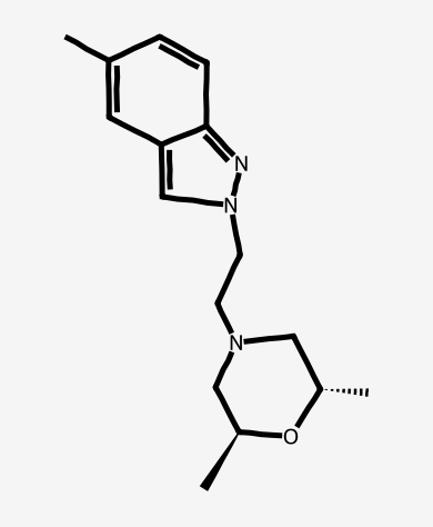 Cc1ccc2nn(CCN3C[C@H](C)O[C@@H](C)C3)cc2c1